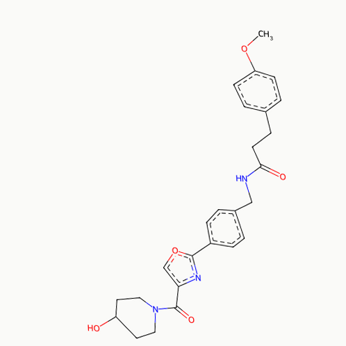 COc1ccc(CCC(=O)NCc2ccc(-c3nc(C(=O)N4CCC(O)CC4)co3)cc2)cc1